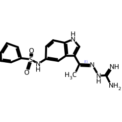 C/C(=N\NC(=N)N)c1c[nH]c2ccc(NS(=O)(=O)c3ccccc3)cc12